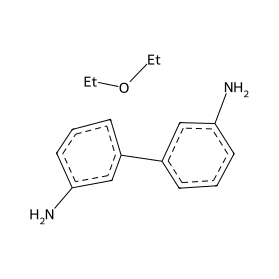 CCOCC.Nc1cccc(-c2cccc(N)c2)c1